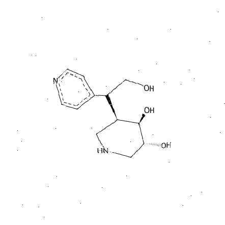 OCC(c1ccncc1)[C@@H]1CNC[C@@H](O)[C@@H]1O